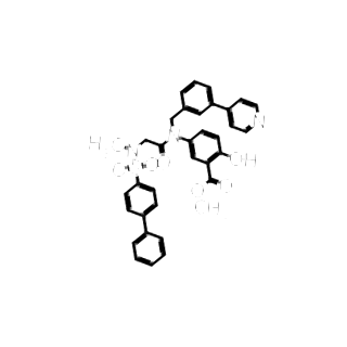 COC(=O)c1cc(N(Cc2cccc(-c3ccncc3)c2)C(=O)CN(C)S(=O)(=O)c2ccc(-c3ccccc3)cc2)ccc1O